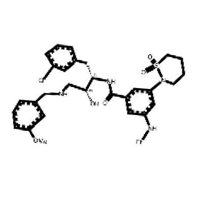 CCNc1cc(C(=O)N[C@@H](Cc2cccc(Cl)c2)[C@H](O)CNCc2cccc(OC)c2)cc(N2CCCCS2(=O)=O)c1